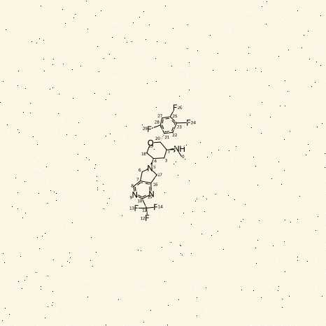 CN[C@H]1C[C@@H](N2Cc3cnc(C(F)(F)F)nc3C2)CO[C@@H]1c1cc(F)c(F)cc1F